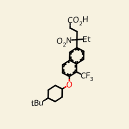 CCC(CCC(=O)O)(c1ccc2c(C(F)(F)F)c(OC3CCC(C(C)(C)C)CC3)ccc2c1)[N+](=O)[O-]